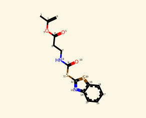 C=C(C)OC(=O)CCNC(=O)Sc1nc2ccccc2s1